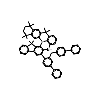 CC1(C)CCC(C)(C)c2cc3c(cc21)N1c2c(cccc2C3(C)C)Bc2c(-c3ccc(-c4ccccc4)cc3Cc3ccc(-c4ccccc4)cc3)cc3c(c21)C(C)(C)c1ccccc1-3